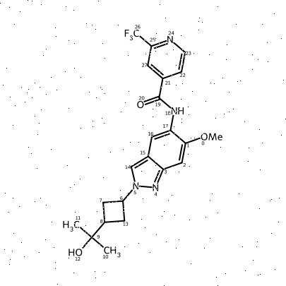 COc1cc2nn(C3CC(C(C)(C)O)C3)cc2cc1NC(=O)c1ccnc(C(F)(F)F)c1